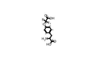 NC(Cc1ccc(OC(F)(F)C(=O)O)cc1)C(=O)O